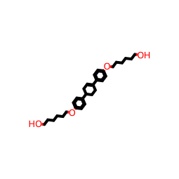 OCCCCCCOc1ccc(C2=CCC(c3ccc(OCCCCCCO)cc3)CC2)cc1